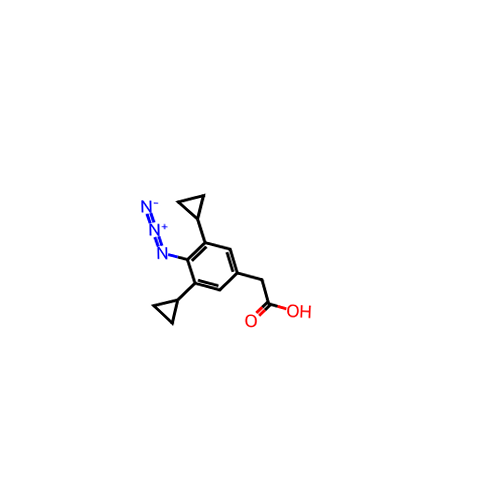 [N-]=[N+]=Nc1c(C2CC2)cc(CC(=O)O)cc1C1CC1